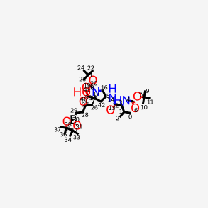 CC(C)C(NC(=O)OC(C)(C)C)C(=O)N[C@H]1CN(C(=O)OC(C)(C)C)[C@@](CCCCB2OC(C)(C)C(C)(C)O2)(C(=O)O)C1